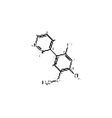 COc1cc(-c2cccnn2)c(F)cc1Cl